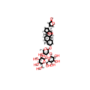 C[C@@H]1O[C@@H](O[C@H]2CC[C@@]3(C)[C@H](CC[C@@H]4[C@@H]3CC[C@]3(C)[C@@H](C5=CC(=O)OC5)CCC43O)C2)[C@H](O[C@H]2O[C@H](CO)[C@@H](O)[C@H](O)[C@H]2O)[C@H](O[C@H]2O[C@H](CO)[C@@H](O)[C@H](O)[C@H]2O)[C@H]1O